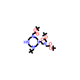 CC(C)(C)CN1CCNCCN(CC(=O)OC(C)(C)C)CCN(CCN(CC(=O)OC(C)(C)C)CC(=O)OC(C)(C)C)CC1